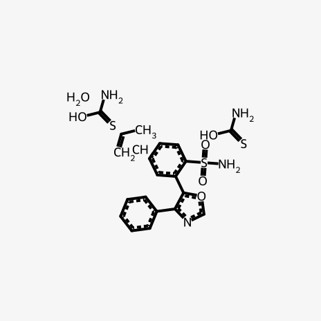 C.C=CC.NC(O)=S.NC(O)=S.NS(=O)(=O)c1ccccc1-c1ocnc1-c1ccccc1.O